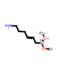 CCO[SiH](CC=CCCCN)OCC